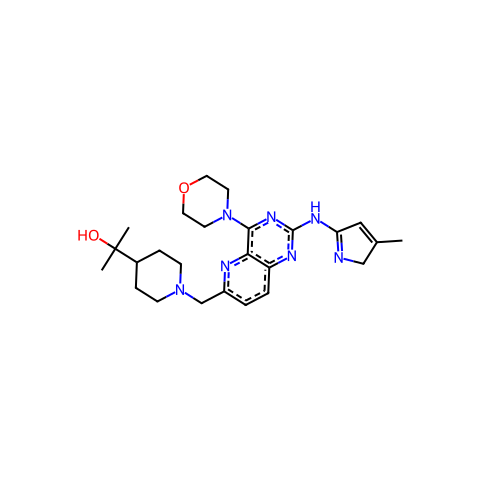 CC1=CC(Nc2nc(N3CCOCC3)c3nc(CN4CCC(C(C)(C)O)CC4)ccc3n2)=NC1